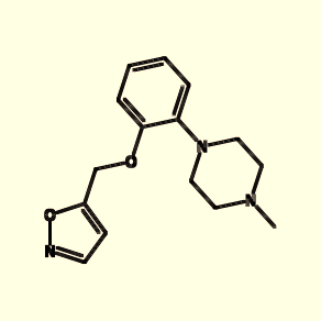 CN1CCN(c2ccccc2OCc2ccno2)CC1